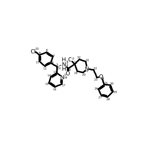 CC1(C(=O)N[C@@H](c2ccc(Cl)cc2)c2ccccn2)CCN(CCOc2ccccc2)CC1